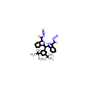 CC(C)(C)c1cc(/C(=C2/N=C(C(=O)N=[N+]=[N-])c3ccccc32)c2[nH]c(C(=O)N=[N+]=[N-])c3ccccc23)cc(C(C)(C)C)c1